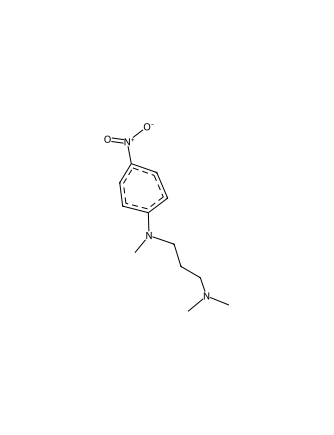 CN(C)CCCN(C)c1ccc([N+](=O)[O-])cc1